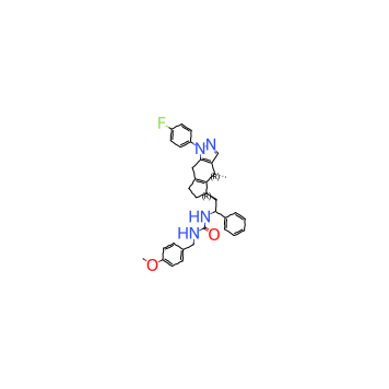 COc1ccc(CNC(=O)NC(C[C@H]2CCC3=C2[C@@H](C)c2cnn(-c4ccc(F)cc4)c2C3)c2ccccc2)cc1